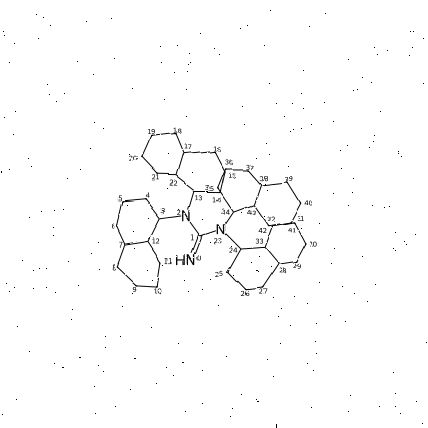 N=C(N(C1CCCC2CCCCC21)C1CCCC2CCCCC21)N(C1CCCC2CCCCC21)C1CCCC2CCCCC21